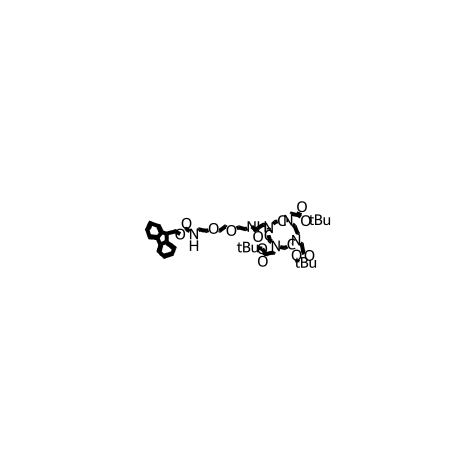 CC(C)(C)OC(=O)CN1CCN(CC(=O)NCCOCCOCCNC(=O)OCC2c3ccccc3-c3ccccc32)CCN(CC(=O)OC(C)(C)C)CCN(CC(=O)OC(C)(C)C)CC1